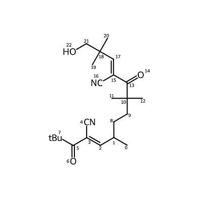 CC(/C=C(\C#N)C(=O)C(C)(C)C)CCC(C)(C)C(=O)/C(C#N)=C/C(C)(C)CO